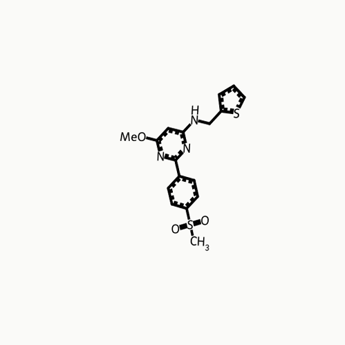 COc1cc(NCc2cccs2)nc(-c2ccc(S(C)(=O)=O)cc2)n1